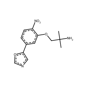 CC(C)(N)COc1cc(-c2cnco2)ccc1[N+](=O)[O-]